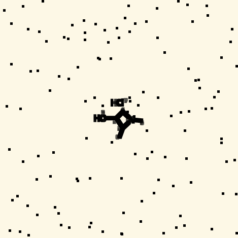 CC1C(O)CN1C.Cl